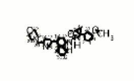 COc1cccc(C2(NC(=O)Nc3ccc(-c4ccc(CN5CCOCC5)nc4)c4ccccc34)CC2)c1